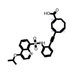 CC(C)Oc1ccnc2c(S(=O)(=O)Nc3ccccc3C#CC3=C/C=C(/C(=O)O)CC/C=C\3)cccc12